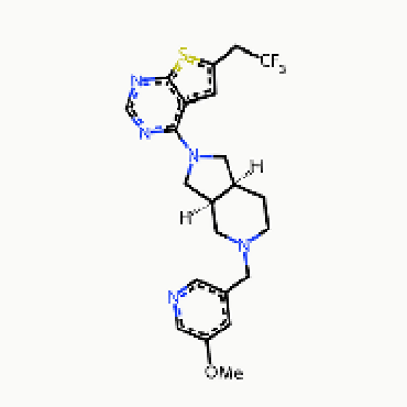 COc1cncc(CN2CC[C@@H]3CN(c4ncnc5sc(CC(F)(F)F)cc45)C[C@@H]3C2)c1